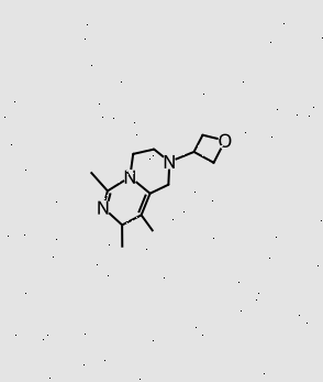 CC1=NC(C)C(C)=C2CN(C3COC3)CCN12